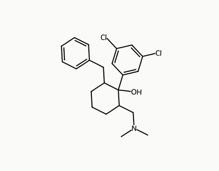 CN(C)CC1CCCC(Cc2ccccc2)C1(O)c1cc(Cl)cc(Cl)c1